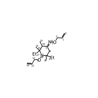 C=CCON=C1CC(C)(CC)N(OCC=C)C(C)(CC)C1C